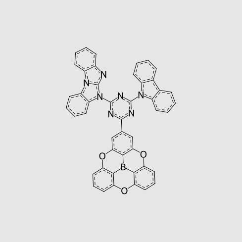 c1cc2c3c(c1)Oc1cc(-c4nc(-n5c6ccccc6c6ccccc65)nc(-n5c6ccccc6n6c7ccccc7nc56)n4)cc4c1B3c1c(cccc1O4)O2